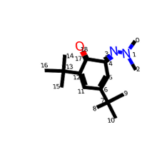 CN(C)N=C1C=C(C(C)(C)C)C=C(C(C)(C)C)C1=O